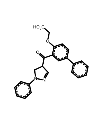 O=C(O)COc1ccc(-c2ccccc2)cc1C(=O)C1C=NN(c2ccccc2)C1